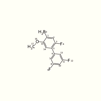 Bc1cc(F)c(-c2cc(F)cc(F)c2)cc1OC